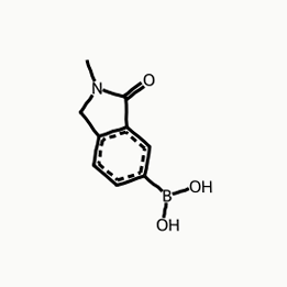 CN1Cc2ccc(B(O)O)cc2C1=O